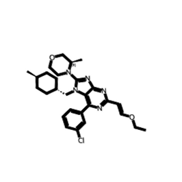 CCOC=Cc1nc(-c2cccc(Cl)c2)c2c(n1)nc(N1CCOC[C@H]1C)n2C[C@H]1CC[C@H](C)CC1